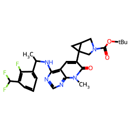 CC(Nc1ncnc2c1cc(C13CC1CN(C(=O)OC(C)(C)C)C3)c(=O)n2C)c1cccc(C(F)F)c1F